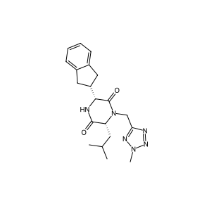 CC(C)C[C@@H]1C(=O)N[C@H](C2Cc3ccccc3C2)C(=O)N1Cc1nnn(C)n1